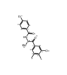 CCc1ccc(C(=O)NN(C(=O)c2cc(C)c(C)c(Cl)c2)C(C)(C)C)cc1